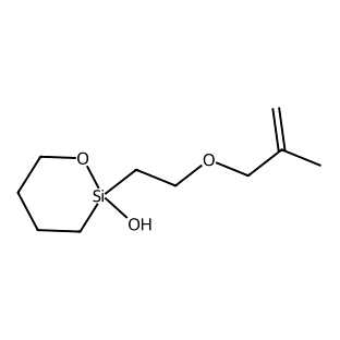 C=C(C)COCC[Si]1(O)CCCCO1